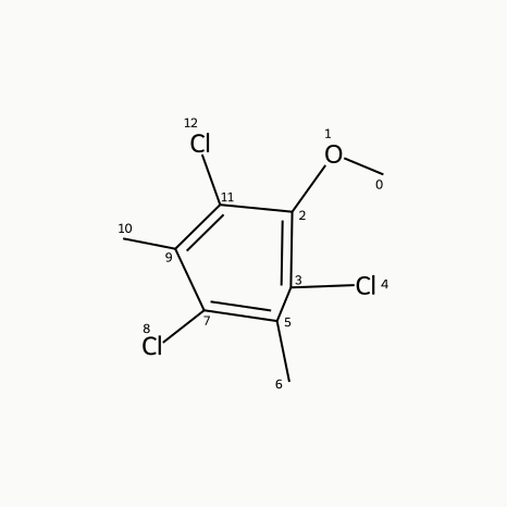 COc1c(Cl)c(C)c(Cl)c(C)c1Cl